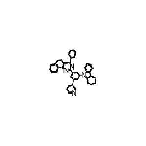 c1ccc(-c2nc(-c3cc(-c4cccnc4)cc(-n4c5ccccc5c5ccccc54)c3)nc3c2ccc2ccccc23)cc1